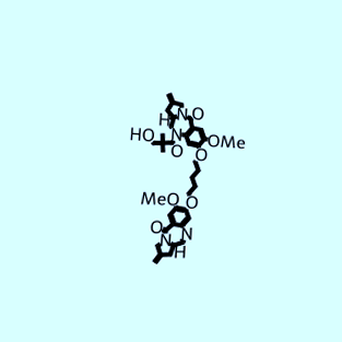 C=C1C[C@H]2CN(C(=O)C(C)(C)CO)c3cc(OCCCCCOc4cc5c(cc4OC)C(=O)N4CC(=C)C[C@H]4C=N5)c(OC)cc3C(=O)N2C1